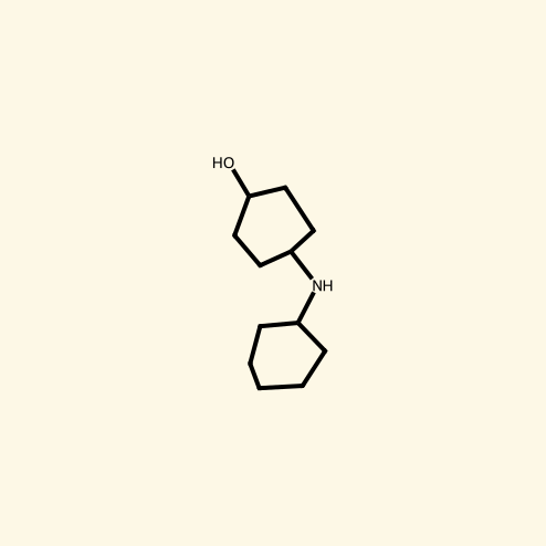 OC1CCC(NC2CCCCC2)CC1